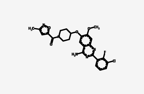 COc1cc2nc(-c3cccc(Cl)c3F)nc(N)c2cc1OC1CCN(C(=O)c2cc(C)no2)CC1